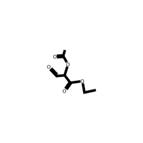 CCOC(=O)C([C]=O)OC(C)=O